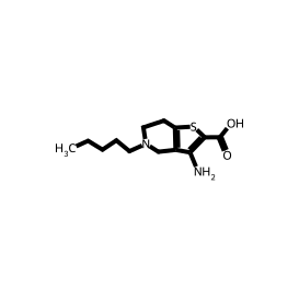 CCCCCN1CCc2sc(C(=O)O)c(N)c2C1